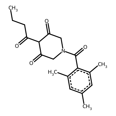 CCCC(=O)C1C(=O)CN(C(=O)c2c(C)cc(C)cc2C)CC1=O